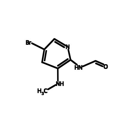 CNc1cc(Br)cnc1NC=O